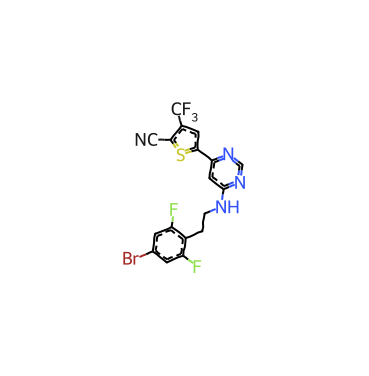 N#Cc1sc(-c2cc(NCCc3c(F)cc(Br)cc3F)ncn2)cc1C(F)(F)F